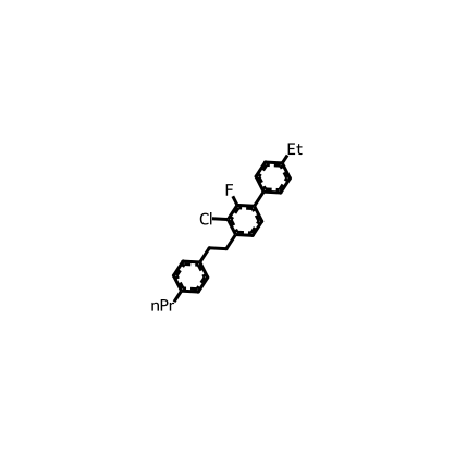 CCCc1ccc(CCc2ccc(-c3ccc(CC)cc3)c(F)c2Cl)cc1